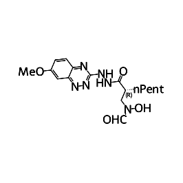 CCCCC[C@H](CN(O)C=O)C(=O)NNc1nnc2cc(OC)ccc2n1